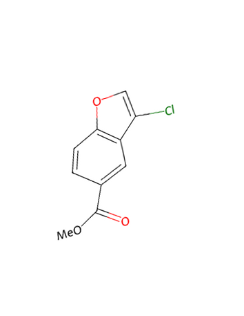 COC(=O)c1ccc2occ(Cl)c2c1